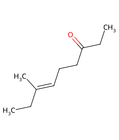 CCC(=O)CC/C=C(\C)CC